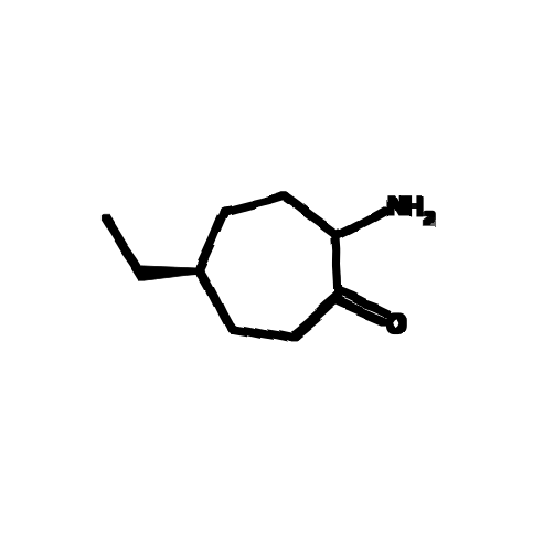 CC[C@@H]1CCC(=O)C(N)CC1